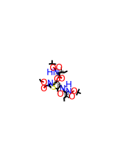 CCOC(=O)c1csc([C@@H](C[C@H](C(C)C)N(C)C(=O)[C@@H](NC(=O)OC(C)(C)C)[C@@H](C)CC)OC(=O)[C@H](NC(=O)OC(C)(C)C)[C@@H](C)CC)n1